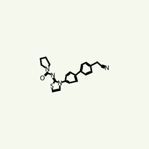 N#CCc1ccc(-c2ccc(-n3ccsc3=NC(=O)N3CCCC3)cc2)cc1